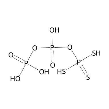 O=P(O)(O)OP(=O)(O)OP(=S)(S)S